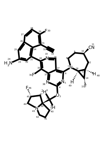 [2H]C([2H])(Oc1nc(N2CC[C@@H](C#N)C[C@H]3[C@H](F)[C@H]32)c2cnc(-c3cc(N)cc4ccc(F)c(C#C)c34)c(F)c2n1)[C@@]12CCCN1C[C@H](F)C2